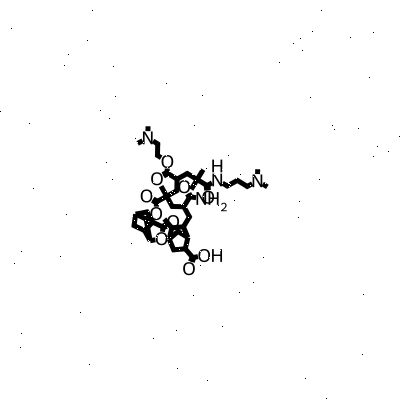 CC1C2CC(C(=O)O)C(C2)C1CC(CC(C)(CC(CC(C)(C)C(=O)NCCCN(C)C)C(=O)OCCN(C)C)C(=O)OC1C2CC3C(=O)OC1C3C2)C(N)=O